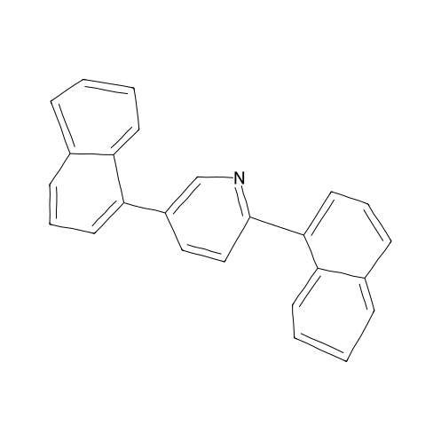 c1ccc2c(-c3ccc(-c4cccc5ccccc45)nc3)cccc2c1